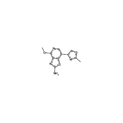 COc1ncc(-c2csc(C)n2)c2sc(N)nc12